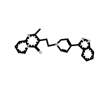 Cc1nc2ccccn2c(=O)c1CCN1C=CC(c2noc3ccccc23)=CC1